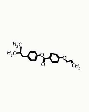 C=CCOc1ccc(C(=O)Oc2ccc(CC(C)CC)cc2)cc1